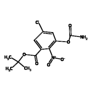 CC(C)(C)OC(=O)c1cc(Cl)cc(OC(N)=O)c1[N+](=O)[O-]